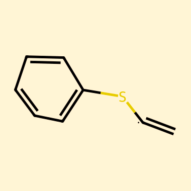 C=[C]Sc1ccccc1